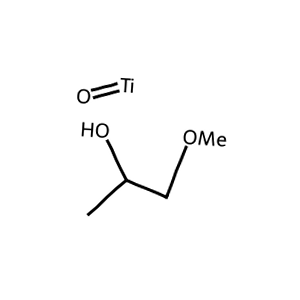 COCC(C)O.[O]=[Ti]